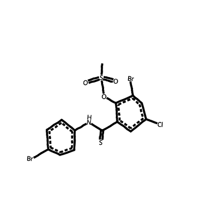 CS(=O)(=O)Oc1c(Br)cc(Cl)cc1C(=S)Nc1ccc(Br)cc1